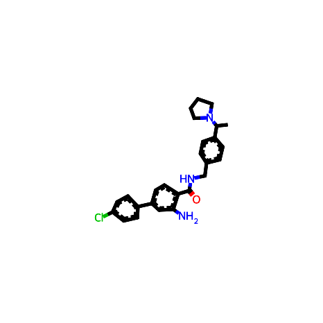 CC(c1ccc(CNC(=O)c2ccc(-c3ccc(Cl)cc3)cc2N)cc1)N1CCCC1